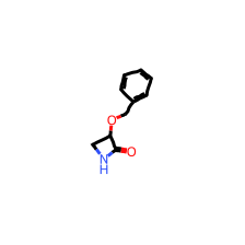 O=C1NCC1OCc1ccccc1